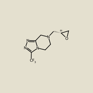 FC(F)(F)c1nnc2n1CCN(C[C@@H]1CO1)C2